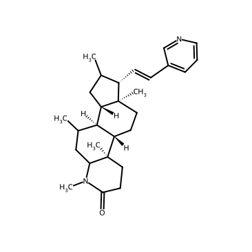 CC1CC2N(C)C(=O)CC[C@]2(C)[C@H]2CC[C@]3(C)[C@@H](C=Cc4cccnc4)C(C)C[C@H]3[C@H]12